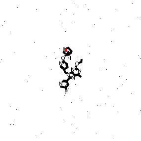 CCOc1nc(C)c2nc(-c3cncc(F)c3)n(Cc3ccc(O[C@H]4CN5CCC4CC5)nc3)c2n1